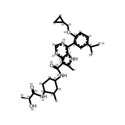 Cc1[nH]c2c(-c3cc(C(F)F)ccc3OCC3CC3)ncnc2c1C(=O)NC1CCC(NC(=O)[C@H](C)O)C(C)C1